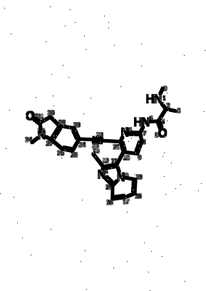 CNC(C)C(=O)Nc1ccc(-c2c(C)nc3ccccn23)c(C#Cc2ccc3c(c2)CC(=O)N3C)n1